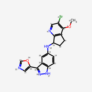 COc1c(Br)cnc2c1CCC2Nc1ccc2[nH]nc(-c3cnco3)c2c1